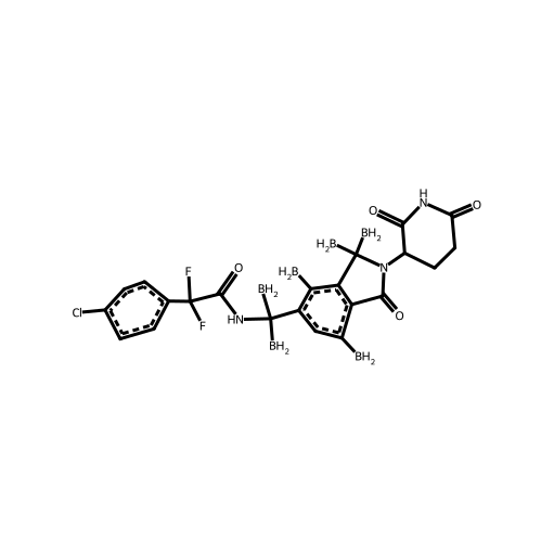 Bc1cc(C(B)(B)NC(=O)C(F)(F)c2ccc(Cl)cc2)c(B)c2c1C(=O)N(C1CCC(=O)NC1=O)C2(B)B